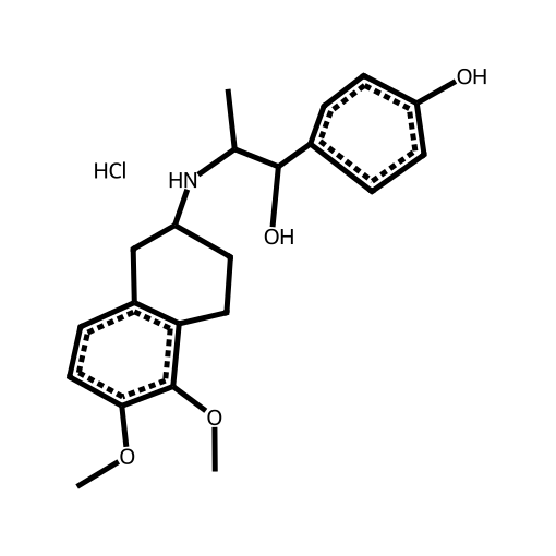 COc1ccc2c(c1OC)CCC(NC(C)C(O)c1ccc(O)cc1)C2.Cl